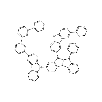 c1ccc(-c2cccc(-c3cccc(-c4ccc5c(c4)c4ccccc4n5-c4ccc5c(c4)N(c4ccc6oc7ccc(-c8ccccc8)cc7c6c4)C4C5c5ccccc5N4c4ccccc4)c3)c2)cc1